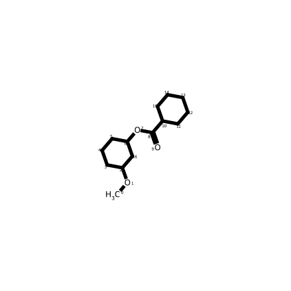 COC1CCCC(OC(=O)C2CCCCC2)C1